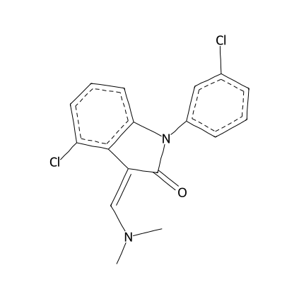 CN(C)C=C1C(=O)N(c2cccc(Cl)c2)c2cccc(Cl)c21